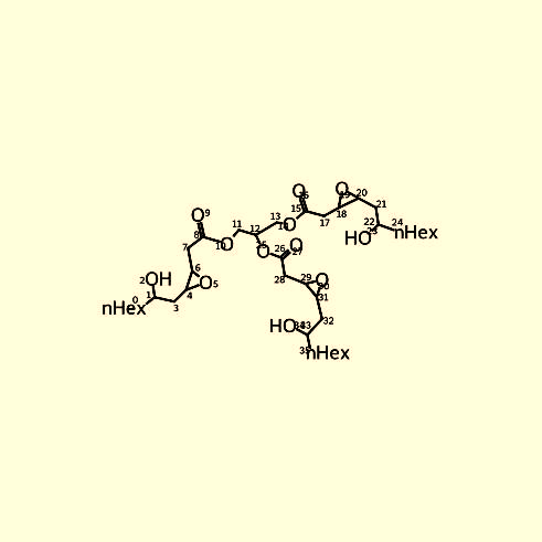 CCCCCCC(O)CC1OC1CC(=O)OCC(COC(=O)CC1OC1CC(O)CCCCCC)OC(=O)CC1OC1CC(O)CCCCCC